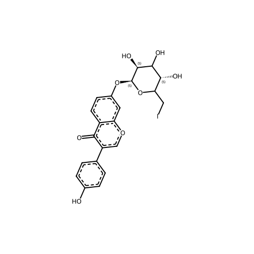 O=c1c(-c2ccc(O)cc2)coc2cc(O[C@@H]3OC(CI)[C@@H](O)C(O)[C@@H]3O)ccc12